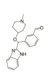 CN1CCC(OC(c2cccc(C=O)c2)c2nc3ccccc3[nH]2)CC1